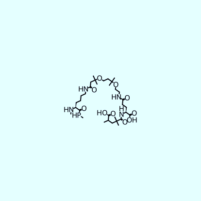 CN[C@@H](CCCCNC(=O)CC(C)(C)OCCC(C)(C)OCCNC(=O)CC[C@H](NC(=O)C(C)(C)CC(C)C(=O)O)C(=O)O)C(=O)PC